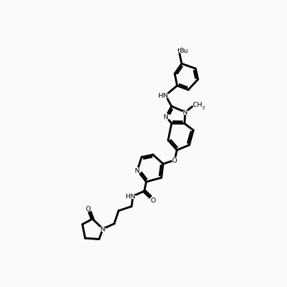 Cn1c(Nc2cccc(C(C)(C)C)c2)nc2cc(Oc3ccnc(C(=O)NCCCN4CCCC4=O)c3)ccc21